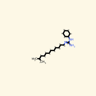 CC(C)CCCCCCCCCCN=C(N)NC1CCCCC1